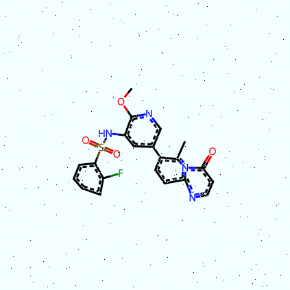 COc1ncc(-c2ccc3nccc(=O)n3c2C)cc1NS(=O)(=O)c1ccccc1F